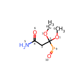 COC(CC(N)=O)(OC)P=O